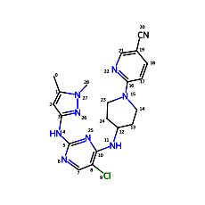 Cc1cc(Nc2ncc(Cl)c(NC3CCN(c4ccc(C#N)cn4)CC3)n2)nn1C